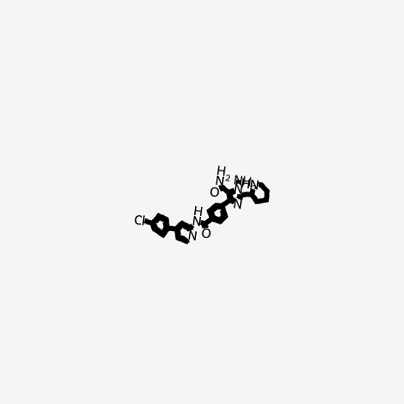 NC(=O)c1c(-c2ccc(C(=O)Nc3cc(-c4ccc(Cl)cc4)ccn3)cc2)nc(C2CCCCN2)n1N